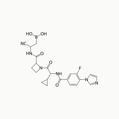 N#CC(CB(O)O)NC(=O)C1CCN1C(=O)C(NC(=O)c1ccc(-n2ccnc2)c(F)c1)C1CC1